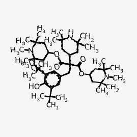 CN1C(C)(C)CC(OC(=O)C(Cc2cc(C(C)(C)C)c(O)c(C(C)(C)C)c2)(C(=O)OC2CC(C)(C)N(C)C(C)(C)C2)C2CC(C)(C)NC(C)(C)C2)CC1(C)C